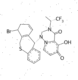 C[C@@H](N1CN([C@H]2C3=C(CSc4ccccc42)C(Br)CC=C3)n2ccc(=O)c(O)c2C1=O)C(F)(F)F